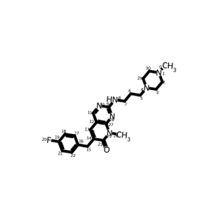 CN1CCN(CCCNc2ncc3cc(Cc4ccc(F)cc4)c(=O)n(C)c3n2)CC1